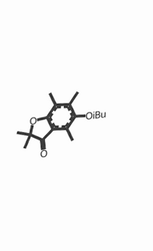 Cc1c(C)c2c(c(C)c1OCC(C)C)C(=O)C(C)(C)O2